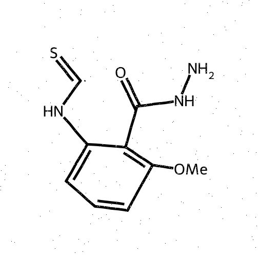 COc1cccc(N[C]=S)c1C(=O)NN